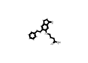 O=C(O)CCCOc1cc2c(cc1CCc1ccccc1)CCC2=O